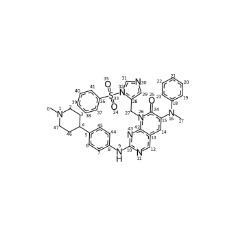 CN1CCC(c2ccc(Nc3ncc4cc(N(C)c5ccccc5)c(=O)n(Cc5cncn5S(=O)(=O)c5ccccc5)c4n3)cc2)CC1